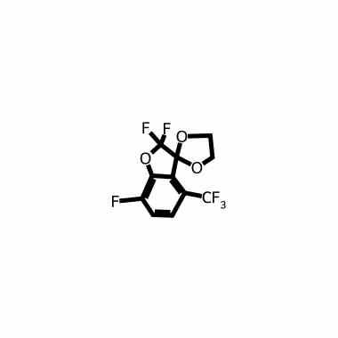 Fc1ccc(C(F)(F)F)c2c1OC(F)(F)C21OCCO1